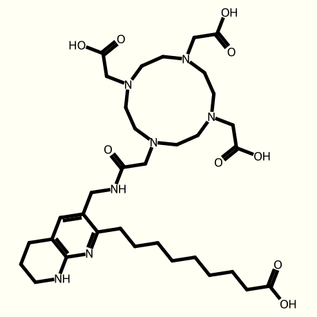 O=C(O)CCCCCCCCc1nc2c(cc1CNC(=O)CN1CCN(CC(=O)O)CCN(CC(=O)O)CCN(CC(=O)O)CC1)CCCN2